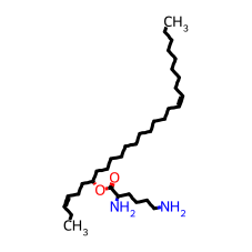 CC/C=C\CCC(CCCCCCCCCCC/C=C\CCCCCCCC)OC(=O)C(N)CCCCN